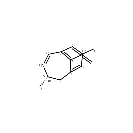 C=Cc1c2cc(C)cc1C[C@H](C)N=C2